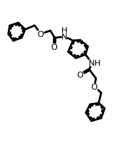 O=C(COCc1ccccc1)Nc1ccc(NC(=O)COCc2ccccc2)cc1